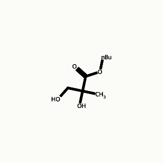 CCCCOC(=O)C(C)(O)CO